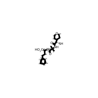 CC(C)(NC(=O)[C@@H](S)C1CCOCC1)C(=O)N[C@@H](CCc1ccccc1)C(=O)O